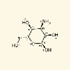 N[C@H]1[C@@H](O)[C@@H](O)O[C@H](CO)[C@H]1O